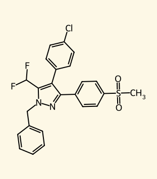 CS(=O)(=O)c1ccc(-c2nn(Cc3ccccc3)c(C(F)F)c2-c2ccc(Cl)cc2)cc1